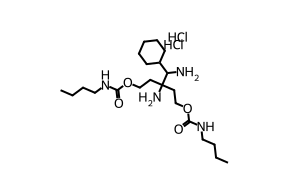 CCCCNC(=O)OCCC(N)(CCOC(=O)NCCCC)C(N)C1CCCCC1.Cl.Cl